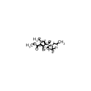 C=CCN(C(F)(F)F)S(=O)(=O)c1cn(C)c(C(=O)OC)c1Br